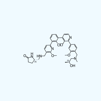 COc1cc(-c2nccc(-c3cccc(-c4ccc(CNC[C@@H]5CCC(=O)N5)c(OC)n4)c3Cl)c2Cl)ccc1CN(C)C[C@H](C)O